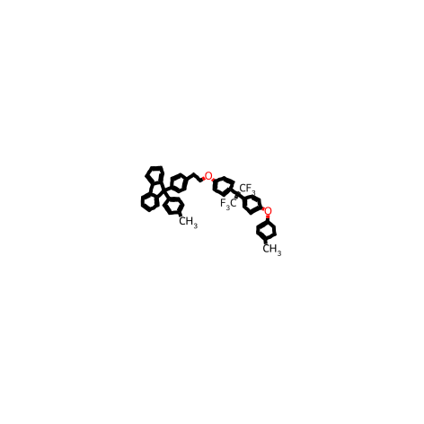 CC1=CC=C(Oc2ccc(C(c3ccc(OCCc4ccc(C5(c6ccc(C)cc6)c6ccccc6-c6ccccc65)cc4)cc3)(C(F)(F)F)C(F)(F)F)cc2)CC1